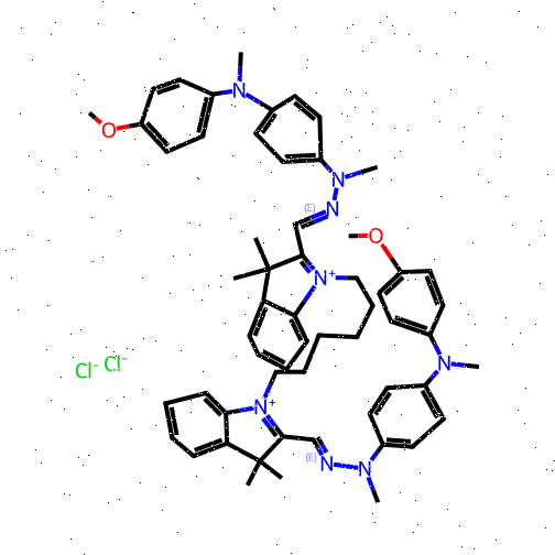 COc1ccc(N(C)c2ccc(N(C)/N=C/C3=[N+](CCCCCC[N+]4=C(/C=N/N(C)c5ccc(N(C)c6ccc(OC)cc6)cc5)C(C)(C)c5ccccc54)c4ccccc4C3(C)C)cc2)cc1.[Cl-].[Cl-]